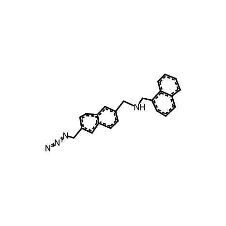 [N-]=[N+]=NCc1ccc2cc(CNCc3cccc4ccccc34)ccc2c1